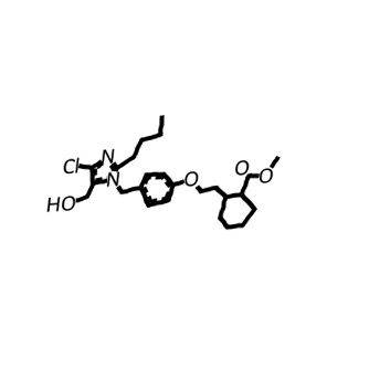 CCCCc1nc(Cl)c(CO)n1Cc1ccc(OCCC2CCCCC2C(=O)OC)cc1